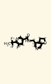 CC(F)(F)c1ncc(C(=O)NCc2cncc3c2CCO3)cc1F